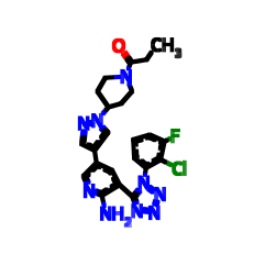 CCC(=O)N1CCC(n2cc(-c3cnc(N)c(-c4nnnn4-c4cccc(F)c4Cl)c3)cn2)CC1